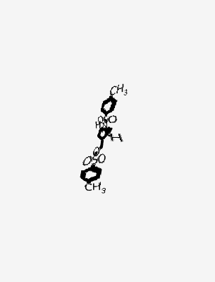 Cc1ccc(S(=O)(=O)OCC2C[C@@H]3C[C@H]2CN3S(=O)(=O)c2ccc(C)cc2)cc1